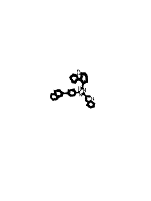 c1ccc2cc(-c3ccc(-c4nc(-c5cnc6ccccc6c5)nc(-c5cccc6oc7ccccc7c56)n4)cc3)ccc2c1